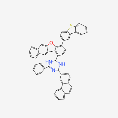 c1ccc(C2=NC(c3ccc4ccc5ccccc5c4c3)NC(c3ccc(-c4ccc5sc6ccccc6c5c4)c4oc5cc6ccccc6cc5c34)N2)cc1